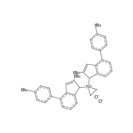 CC(C)(C)C1=Cc2c(-c3ccc(C(C)(C)C)cc3)cccc2[CH]1[Ti+2]1([CH]2C(C(C)(C)C)=Cc3c(-c4ccc(C(C)(C)C)cc4)cccc32)[CH2][CH2]1.[Cl-].[Cl-]